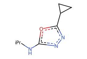 CC(C)Nc1nnc(C2CC2)o1